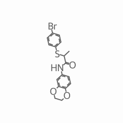 CC(Sc1ccc(Br)cc1)C(=O)Nc1ccc2c(c1)OCCO2